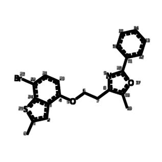 Cc1cc2c(OCCc3nc(-c4ccccc4)oc3C)ccc(Br)c2s1